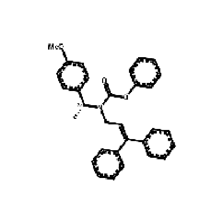 COc1ccc([C@@H](C)N(CC=C(c2ccccc2)c2ccccc2)C(=O)Oc2ccccc2)cc1